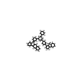 CC1(C)c2ccccc2-c2cccc(-c3ccc(-c4nc(-c5ccccc5)nc(-c5cccc(-n6c7ccccc7c7cc8ccccc8cc76)c5)n4)cc3)c21